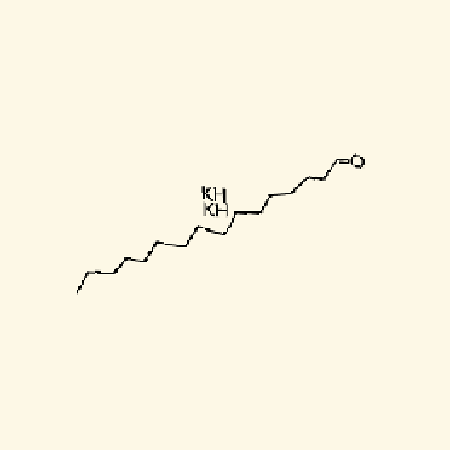 CCCCCCCCCCCCCCCC=O.[KH].[KH]